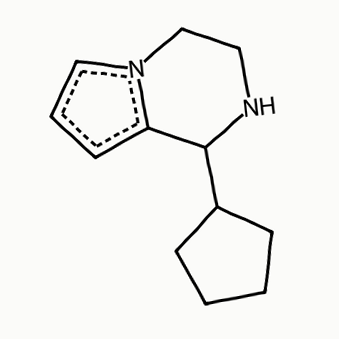 c1cc2n(c1)CCNC2C1CCCC1